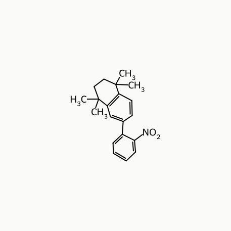 CC1(C)CCC(C)(C)c2cc(-c3ccccc3[N+](=O)[O-])ccc21